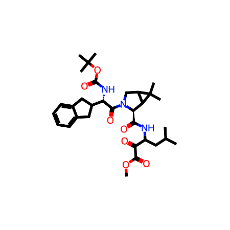 COC(=O)C(=O)C(CC(C)C)NC(=O)[C@@H]1C2C(CN1C(=O)[C@@H](NC(=O)OC(C)(C)C)C1Cc3ccccc3C1)C2(C)C